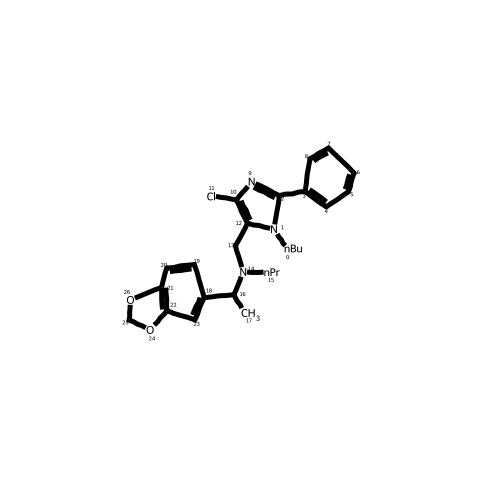 CCCCn1c(-c2ccccc2)nc(Cl)c1CN(CCC)C(C)c1ccc2c(c1)OCO2